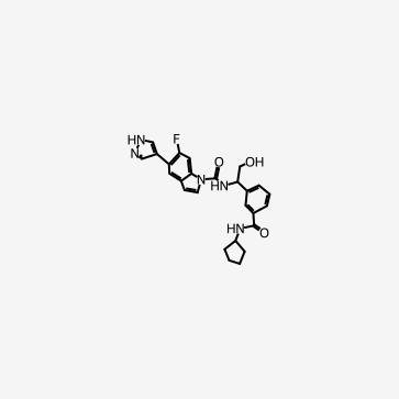 O=C(NC1CCCC1)c1cccc(C(CO)NC(=O)n2ccc3cc(-c4cn[nH]c4)c(F)cc32)c1